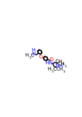 CNCc1ccccc1Oc1ccc(C(=O)NC2CC(C)(C)NC(C)(C)C2)cc1